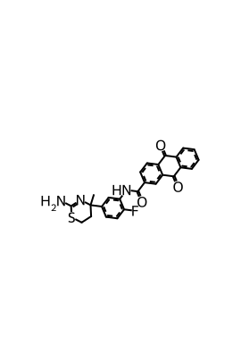 CC1(c2ccc(F)c(NC(=O)c3ccc4c(c3)C(=O)c3ccccc3C4=O)c2)CCSC(N)=N1